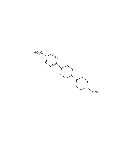 CCCCCCC1CCC(C2CCC(c3ccc(C(=O)O)cc3)CC2)CC1